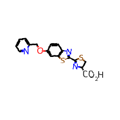 O=C(O)C1CSC(c2nc3ccc(OCc4ccccn4)cc3s2)=N1